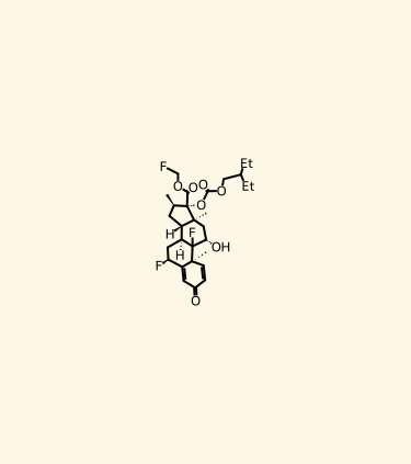 CCC(CC)COC(=O)O[C@@]1(C(=O)OCF)[C@H](C)C[C@H]2[C@@H]3C[C@H](F)C4=CC(=O)C=C[C@]4(C)C3(F)[C@@H](O)C[C@@]21C